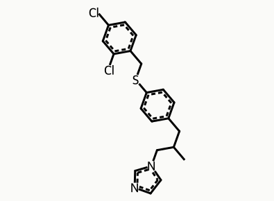 CC(Cc1ccc(SCc2ccc(Cl)cc2Cl)cc1)Cn1ccnc1